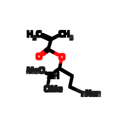 C=C(C)C(=O)OC(CCCCCCCCCCC)[SiH](OC)OC